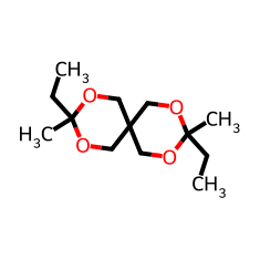 CCC1(C)OCC2(CO1)COC(C)(CC)OC2